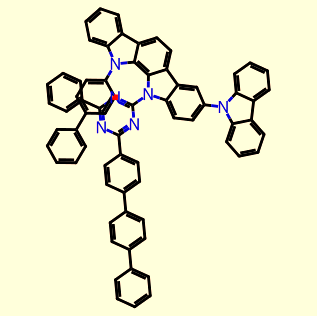 c1ccc(-c2ccc(-c3ccc(-c4nc(-c5ccccc5)nc(-n5c6ccc(-n7c8ccccc8c8ccccc87)cc6c6ccc7c8ccccc8n(-c8ccc(-c9ccccc9)cc8)c7c65)n4)cc3)cc2)cc1